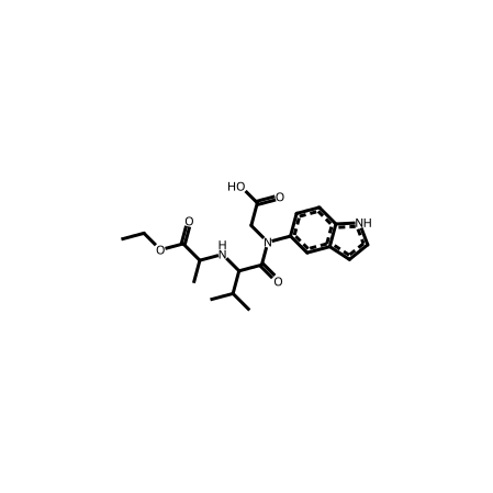 CCOC(=O)C(C)NC(C(=O)N(CC(=O)O)c1ccc2[nH]ccc2c1)C(C)C